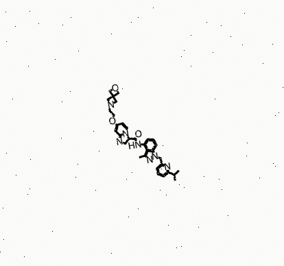 Cc1nn(Cc2cccc(C(C)C)n2)c2cccc(NC(=O)C3CN=C4C=C(OCCN5CC6(COC6)C5)C=CN43)c12